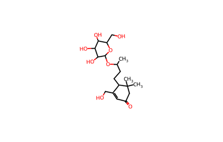 CC(CCC1C(CO)=CC(=O)CC1(C)C)OC1OC(CO)C(O)C(O)C1O